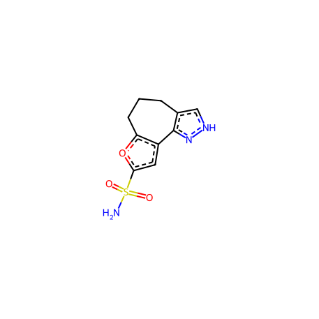 NS(=O)(=O)c1cc2c(o1)CCCc1c[nH]nc1-2